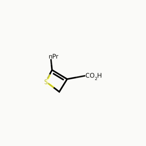 CCCC1=C(C(=O)O)CS1